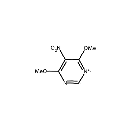 COC1=[N+][C]=NC(OC)=C1[N+](=O)[O-]